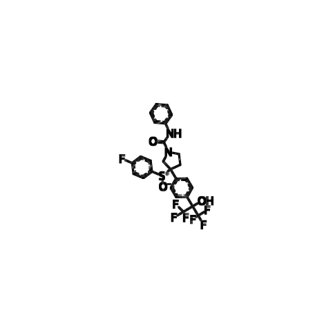 O=C(Nc1ccccc1)N1CCC(c2ccc(C(O)(C(F)(F)F)C(F)(F)F)cc2)([S+]([O-])c2ccc(F)cc2)C1